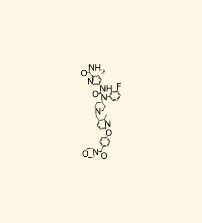 Cc1nc(Oc2ccc(C(=O)N3CCOCC3)cc2)ccc1CN1CCC(N(C(=O)Nc2ccc(C(N)=O)nc2)c2cccc(F)c2)CC1